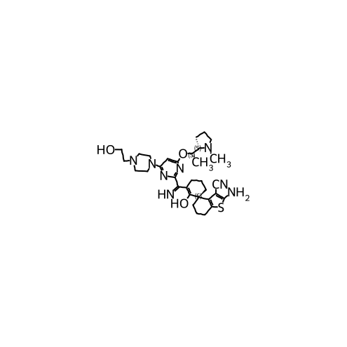 C[C@H](Oc1cc(N2CCN(CCO)CC2)nc(C(=N)C2=C(O)[C@@]3(CCC2)CCCc2sc(N)c(C#N)c23)n1)[C@@H]1CCCN1C